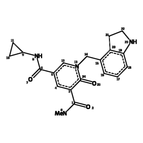 CNC(=O)c1cc(C(=O)NC2CC2)cn(Cc2cccc3c2CCN3)c1=O